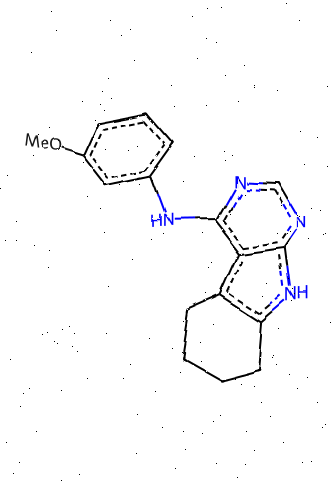 COc1cccc(Nc2ncnc3[nH]c4c(c23)CCCC4)c1